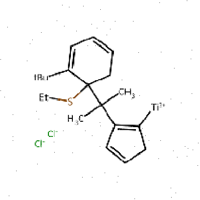 CCSC1(C(C)(C)C2=[C]([Ti+2])CC=C2)CC=CC=C1C(C)(C)C.[Cl-].[Cl-]